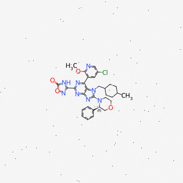 COc1ncc(Cl)cc1-c1nc(-c2noc(=O)[nH]2)nc2nc(N3CCOC[C@H]3c3ccccc3)n(CC3CCC(C)CC3)c12